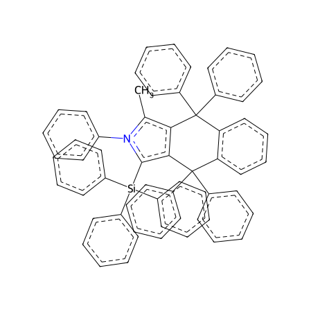 Cc1c2c(c([Si](c3ccccc3)(c3ccccc3)c3ccccc3)n1-c1ccccc1)C(c1ccccc1)(c1ccccc1)c1ccccc1C2(c1ccccc1)c1ccccc1